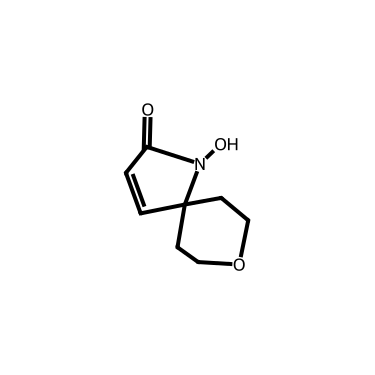 O=C1C=CC2(CCOCC2)N1O